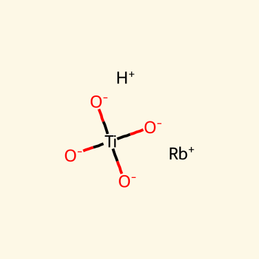 [H+].[O-][Ti]([O-])([O-])[O-].[Rb+]